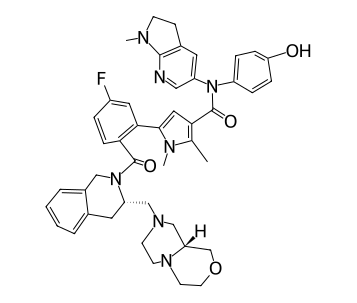 Cc1c(C(=O)N(c2ccc(O)cc2)c2cnc3c(c2)CCN3C)cc(-c2cc(F)ccc2C(=O)N2Cc3ccccc3C[C@H]2CN2CCN3CCOC[C@H]3C2)n1C